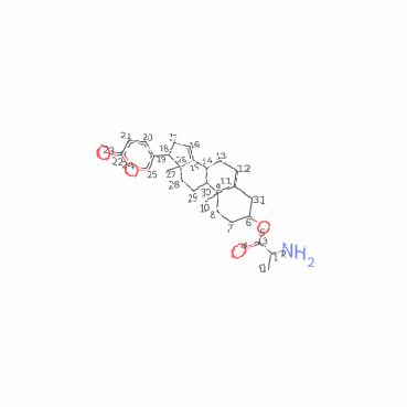 CC(N)C(=O)OC1CCC2(C)C(CCC3C4=CCC(c5ccc(=O)oc5)C4(C)CCC32)C1